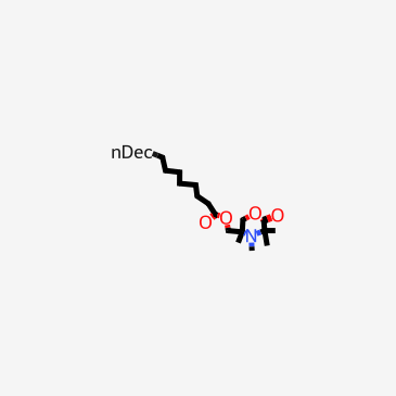 CCCCCCCCCCCCCCCCCC(=O)OCC1(C)COC(=O)C(C)(C)N1C